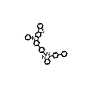 c1ccc(-c2ccc(-c3nc(-c4ccc(-c5ccc6c(c5)c5cc7sc8ccccc8c7cc5n6-c5ccccc5)cc4)nc4ccccc34)cc2)cc1